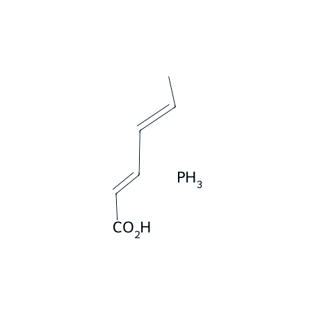 C/C=C/C=C/C(=O)O.P